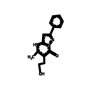 Cc1[nH]c2cc(-c3ccccc3)nn2c(=O)c1CCO